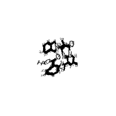 Cc1cc(C(C)Nc2ccccc2C(=O)O)c2nc(N3Cc4ccccc4C3)c(C)c(=O)n2c1